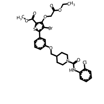 CCOC(=O)COc1c(C(=O)OC)sc(-c2cccc(OCC3CCN(C(=O)Nc4ccccc4Cl)CC3)c2)c1Br